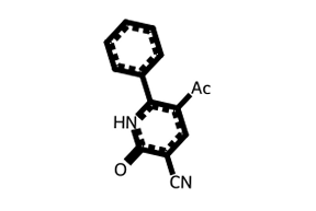 CC(=O)c1cc(C#N)c(=O)[nH]c1-c1ccccc1